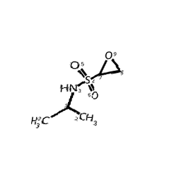 CC(C)NS(=O)(=O)C1CO1